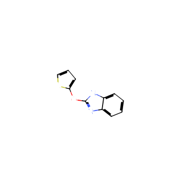 c1csc(Oc2nc3ccccc3[nH]2)c1